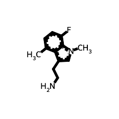 Cc1ccc(F)c2c1c(CCN)cn2C